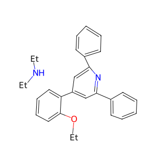 CCNCC.CCOc1ccccc1-c1cc(-c2ccccc2)nc(-c2ccccc2)c1